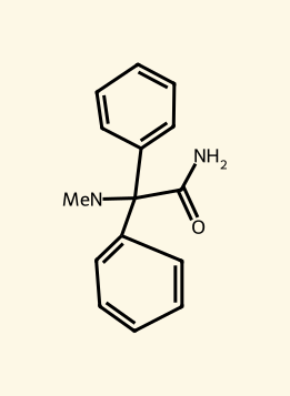 CNC(C(N)=O)(c1ccccc1)c1ccccc1